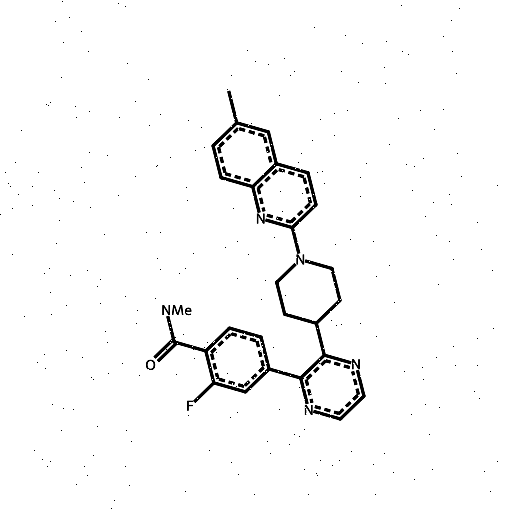 CNC(=O)c1ccc(-c2nccnc2C2CCN(c3ccc4cc(C)ccc4n3)CC2)cc1F